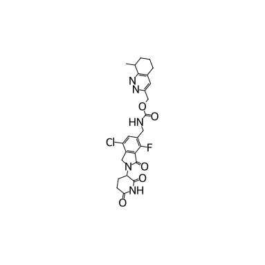 CC1CCCc2cc(COC(=O)NCc3cc(Cl)c4c(c3F)C(=O)N(C3CCC(=O)NC3=O)C4)nnc21